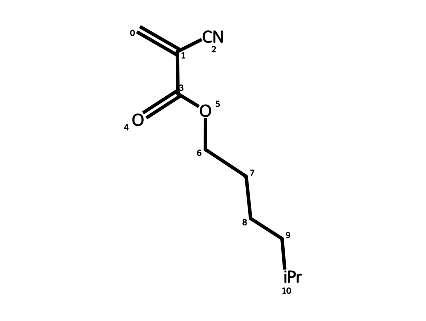 C=C(C#N)C(=O)OCCCCC(C)C